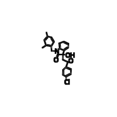 Cc1ccc(CN2C(=O)C(O)(CC(=O)c3ccc(Cl)cc3)c3ccccc32)c(C)c1